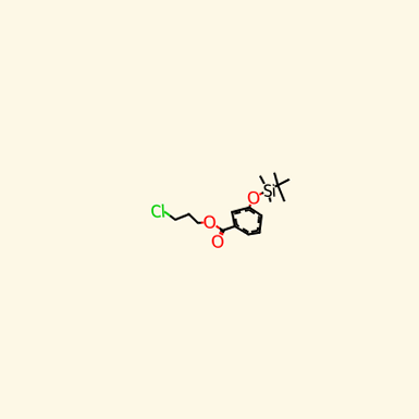 CC(C)(C)[Si](C)(C)Oc1cccc(C(=O)OCCCCl)c1